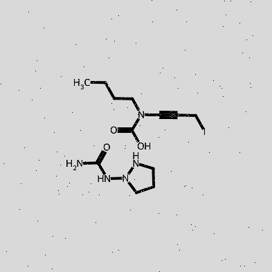 CCCCN(C#CCI)C(=O)O.NC(=O)NN1CCCN1